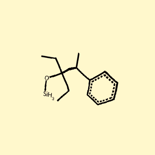 CCC(CC)(O[SiH3])C(C)c1ccccc1